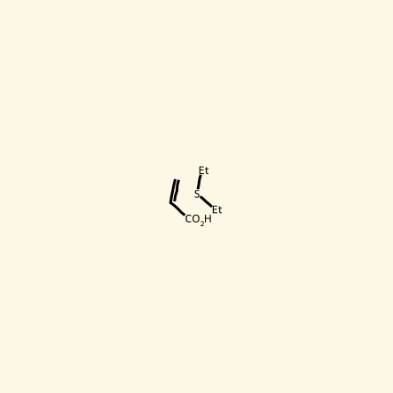 C=CC(=O)O.CCSCC